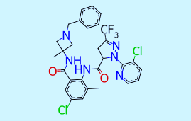 Cc1cc(Cl)cc(C(=O)NC2(C)CN(Cc3ccccc3)C2)c1NC(=O)C1CC(C(F)(F)F)=NN1c1ncccc1Cl